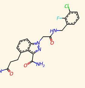 NC(=O)CCc1cccc2c1c(C(N)=O)nn2CC(=O)NCc1cccc(Cl)c1F